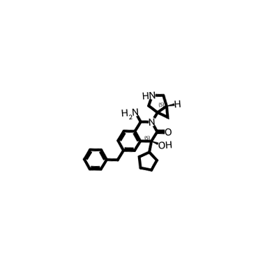 NC1c2ccc(Cc3ccccc3)cc2[C@@](O)(C2CCCC2)C(=O)N1C12CNC[C@@H]1C2